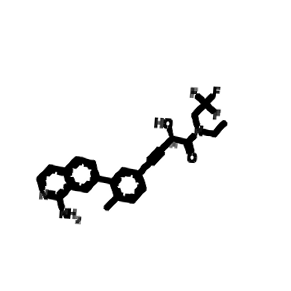 CCN(CC(F)(F)F)C(=O)[C@H](O)C#Cc1ccc(C)c(-c2ccc3ccnc(N)c3c2)c1